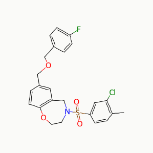 Cc1ccc(S(=O)(=O)N2CCOc3ccc(COCc4ccc(F)cc4)cc3C2)cc1Cl